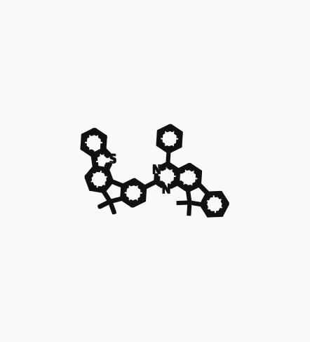 CC1(C)c2ccc(-c3nc(-c4ccccc4)c4ccc5c(c4n3)C(C)(C)c3ccccc3-5)cc2-c2c1ccc1c2sc2ccccc21